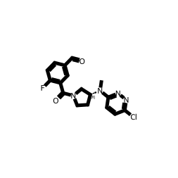 CN(c1ccc(Cl)nn1)[C@@H]1CCN(C(=O)c2cc(C=O)ccc2F)C1